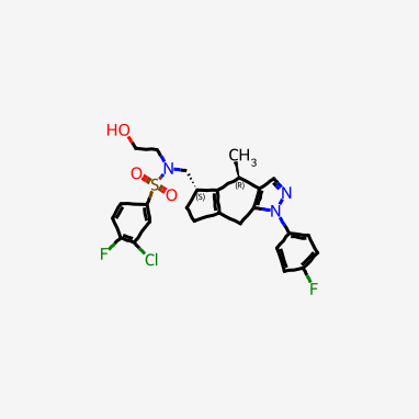 C[C@@H]1C2=C(CC[C@@H]2CN(CCO)S(=O)(=O)c2ccc(F)c(Cl)c2)Cc2c1cnn2-c1ccc(F)cc1